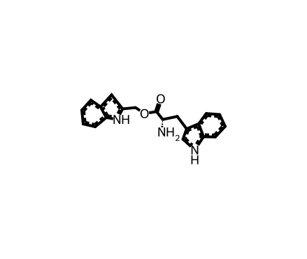 N[C@@H](Cc1c[nH]c2ccccc12)C(=O)OCc1cc2ccccc2[nH]1